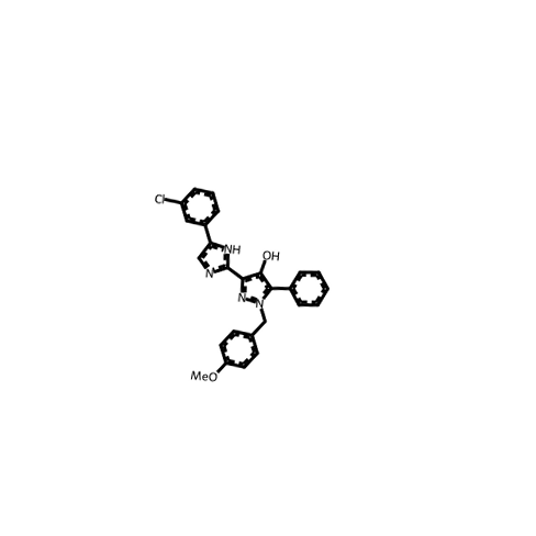 COc1ccc(Cn2nc(-c3ncc(-c4cccc(Cl)c4)[nH]3)c(O)c2-c2ccccc2)cc1